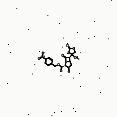 CC1([C@@H]2C(=O)N3C2CC(=O)[C@@H]3C(=O)OCc2ccc([N+](=O)[O-])cc2)COC(=O)O1